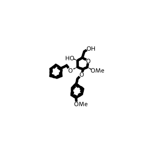 COc1ccc(COC2[C@@H](OC)OC(CO)[C@@H](O)[C@H]2OCc2ccccc2)cc1